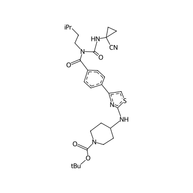 CC(C)CCN(C(=O)NC1(C#N)CC1)C(=O)c1ccc(-c2csc(NC3CCN(C(=O)OC(C)(C)C)CC3)n2)cc1